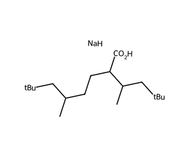 CC(CCC(C(=O)O)C(C)CC(C)(C)C)CC(C)(C)C.[NaH]